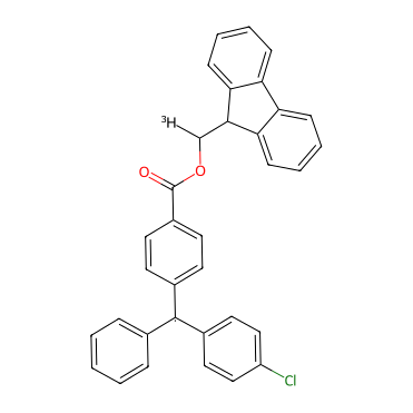 [3H]C(OC(=O)c1ccc([C](c2ccccc2)c2ccc(Cl)cc2)cc1)C1c2ccccc2-c2ccccc21